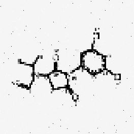 CC(C)N(C=S)C1CC(=O)N(c2cc(Cl)cc(Cl)c2)C1=O